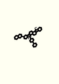 c1ccc(-c2ccc(-n3c4ccc(-c5ccc6ccccc6c5)cc4c4ccc5c(ccc6c7ccccc7sc65)c43)cc2)cc1